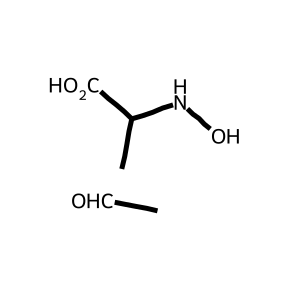 CC(NO)C(=O)O.CC=O